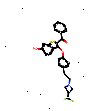 O=C(c1ccccc1)c1sc2cc(O)ccc2c1Oc1ccc(CCN2CC(C(F)F)C2)cc1